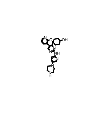 OC1CCC2(CC1)Oc1ncccc1-c1cnc(Nc3ccc(N4CCNCC4)cn3)nc12